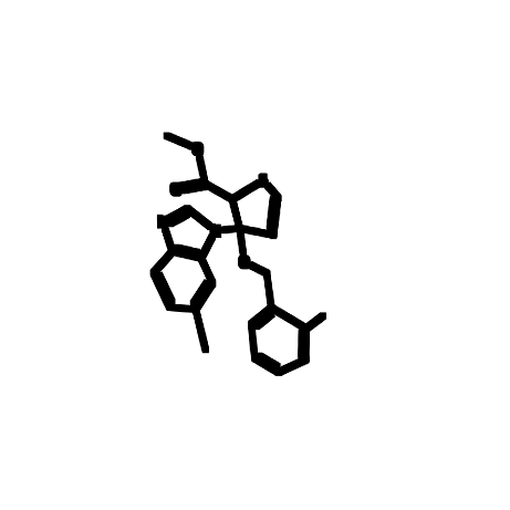 COC(=O)C1SC=CC1(OCc1ccccc1C)n1cnc2ccc(C)cc21